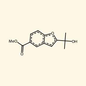 COC(=O)c1ccc2oc(C(C)(C)O)cc2c1